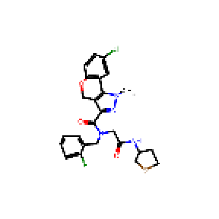 Cn1nc(C(=O)N(CC(=O)NC2CCSC2)Cc2ccccc2F)c2c1-c1cc(Cl)ccc1OC2